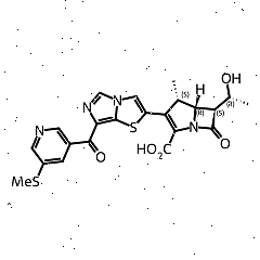 CSc1cncc(C(=O)c2ncn3cc(C4=C(C(=O)O)N5C(=O)[C@H]([C@@H](C)O)[C@H]5[C@H]4C)sc23)c1